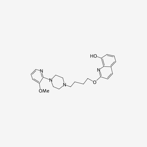 COc1cccnc1N1CCN(CCCCOc2ccc3cccc(O)c3n2)CC1